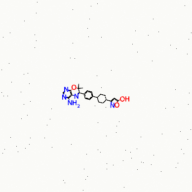 CC1(C)Oc2ncnc(N)c2N=C1c1ccc(C2CCC(c3cc(O)on3)CC2)cc1